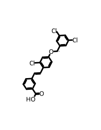 O=C(O)c1cccc(C=Cc2ccc(O[CH]c3cc(Cl)cc(Cl)c3)cc2Cl)c1